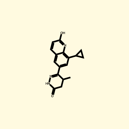 CC1CC(=O)NN=C1c1cc(C2CC2)c2nc(O)ccc2c1